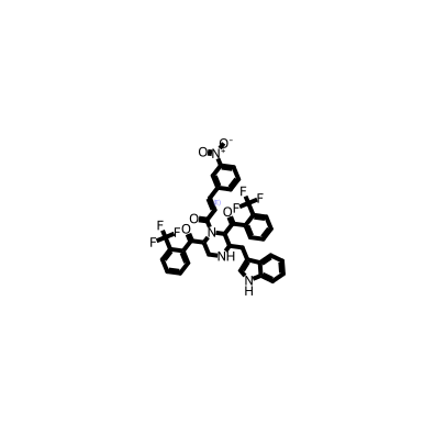 O=C(c1ccccc1C(F)(F)F)C1CNC(Cc2c[nH]c3ccccc23)C(C(=O)c2ccccc2C(F)(F)F)N1C(=O)/C=C/c1cccc([N+](=O)[O-])c1